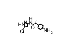 CC(C(=O)Nc1cc(C2CCC2)[nH]n1)c1ccc(N)cc1